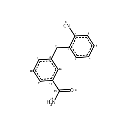 [C-]#[N+]c1ccccc1Cc1cccc(C(N)=O)c1